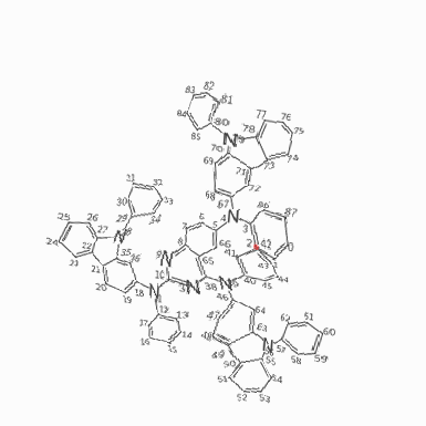 c1ccc(N(c2ccc3nc(N(c4ccccc4)c4ccc5c6ccccc6n(-c6ccccc6)c5c4)nc(N(c4ccccc4)c4ccc5c6ccccc6n(-c6ccccc6)c5c4)c3c2)c2ccc3c(c2)c2ccccc2n3-c2ccccc2)cc1